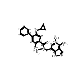 Cc1c2cn[nH]c2c(CN(C)C(=O)c2cc(OC3CC3)c(-c3ccccc3)cc2F)c[n+]1O